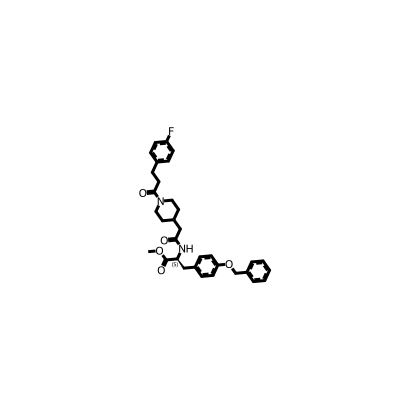 COC(=O)[C@H](Cc1ccc(OCc2ccccc2)cc1)NC(=O)CC1CCN(C(=O)CCc2ccc(F)cc2)CC1